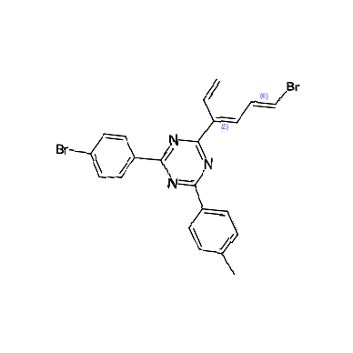 C=C/C(=C\C=C\Br)c1nc(-c2ccc(C)cc2)nc(-c2ccc(Br)cc2)n1